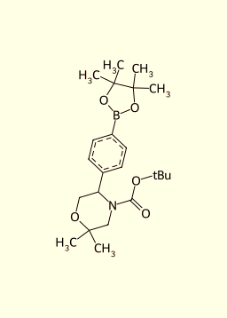 CC(C)(C)OC(=O)N1CC(C)(C)OCC1c1ccc(B2OC(C)(C)C(C)(C)O2)cc1